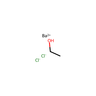 CCO.[Ba+2].[Cl-].[Cl-]